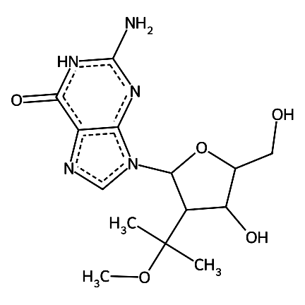 COC(C)(C)C1C(O)C(CO)OC1n1cnc2c(=O)[nH]c(N)nc21